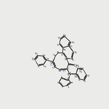 C=C1/C(N(c2ccccc2)c2ccccc2)=C\C=C(\c2ccccc2)CCc2c1ccc1ccccc21